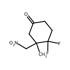 CC1(C[N+](=O)[O-])CC(=O)CCC1(F)F